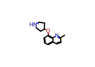 Cc1ccc2cccc(OC3CCNCC3)c2n1